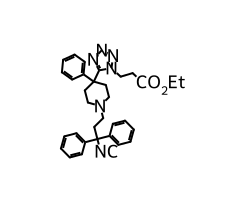 [C-]#[N+]C(CCN1CCC(c2ccccc2)(c2nnnn2CCC(=O)OCC)CC1)(c1ccccc1)c1ccccc1